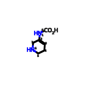 O=C(O)NC1=CCCNC1